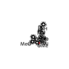 COc1ccc(C(OC[C@H]2O[C@@H](n3cnc4c(NC(=O)c5ccccc5)ncnc43)[C@H](O[PH](=O)O)[C@@H]2O[Si](C)(C)C(C)(C)C)(c2ccccc2)c2ccc(OC)cc2)cc1